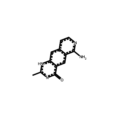 Cc1nc(=O)c2cc3c(N)nccc3cc2[nH]1